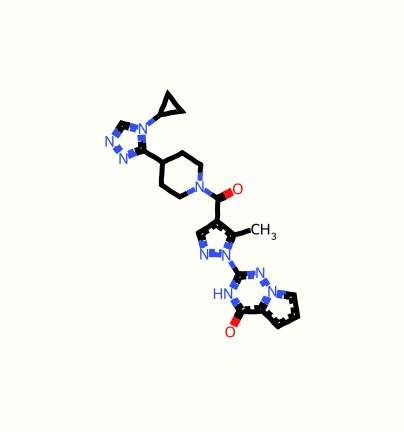 Cc1c(C(=O)N2CCC(c3nncn3C3CC3)CC2)cnn1-c1nn2cccc2c(=O)[nH]1